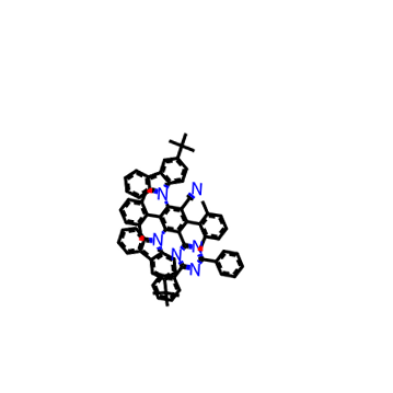 Cc1cccc(C)c1-c1c(C#N)c(-n2c3ccccc3c3cc(C(C)(C)C)ccc32)c(-c2c(C)cccc2C)c(-n2c3ccccc3c3cc(C(C)(C)C)ccc32)c1-c1nc(-c2ccccc2)nc(-c2ccccc2)n1